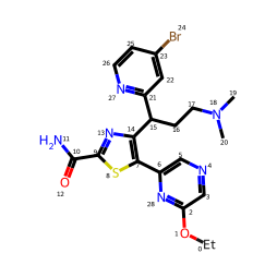 CCOc1cncc(-c2sc(C(N)=O)nc2C(CCN(C)C)c2cc(Br)ccn2)n1